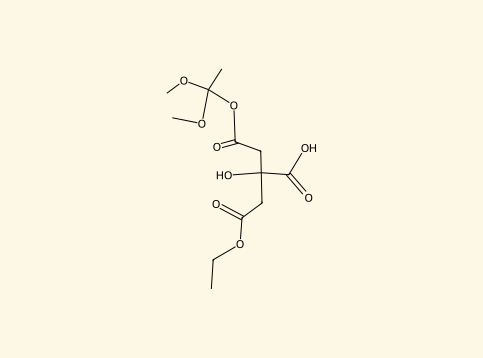 CCOC(=O)CC(O)(CC(=O)OC(C)(OC)OC)C(=O)O